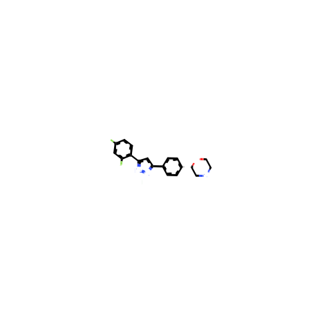 Cl.Fc1ccc(-c2cc(-c3ccc([C@H]4CNCCO4)cc3)n[nH]2)c(F)c1